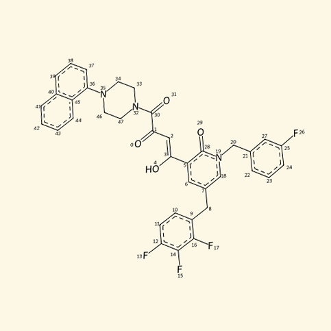 O=C(/C=C(\O)c1cc(Cc2ccc(F)c(F)c2F)cn(Cc2cccc(F)c2)c1=O)C(=O)N1CCN(c2cccc3ccccc23)CC1